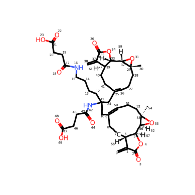 C=C1C(=O)O[C@H]2[C@H]1CC/C(CC(CCCCNC(=O)CCC(=O)O)(C/C1=C/CC[C@@]3(C)O[C@H]3[C@H]3OC(=O)C(=C)[C@@H]3CC1)NC(=O)CCC(=O)O)=C\CC[C@@]1(C)O[C@@H]21